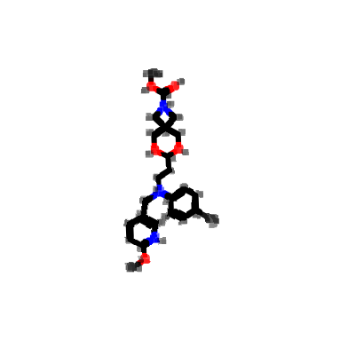 CC(C)Oc1ccc(CN(CCC2OCC3(CO2)CN(C(=O)OC(C)(C)C)C3)c2ccc(C#N)cc2)cn1